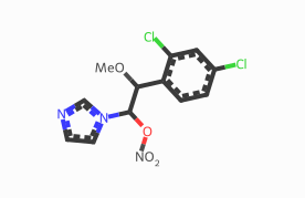 CO[C](c1ccc(Cl)cc1Cl)C(O[N+](=O)[O-])n1ccnc1